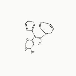 BrC1OCOc2c1ccc(-c1ccccc1)c2-c1ccccc1